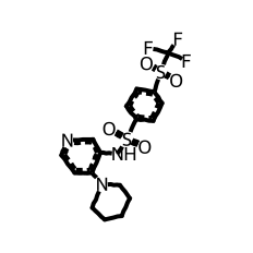 O=S(=O)(Nc1cnccc1N1CCCCC1)c1ccc(S(=O)(=O)C(F)(F)F)cc1